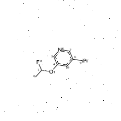 CC(F)Oc1cncc(C(C)C)c1